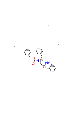 N[C@@H](Cc1ccccc1)CC1[C@H](Cc2ccccc2)N1C(=O)OCc1ccccc1